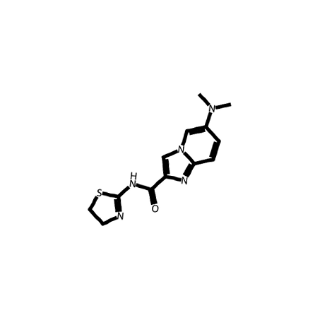 CN(C)c1ccc2nc(C(=O)NC3=NCCS3)cn2c1